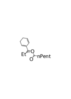 CCCCCC(=O)O[C@@H](CC)C1=CCCC=C1